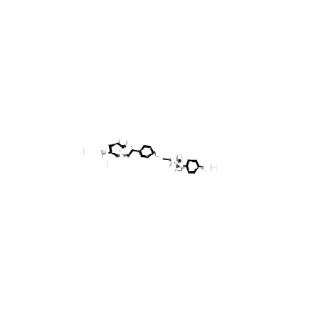 CBc1ccc2nc(-c3ccc(OCCOS(=O)(=O)c4ccc(C)cc4)cc3)cn2c1